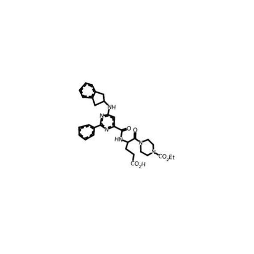 CCOC(=O)N1CCN(C(=O)C(CCC(=O)O)NC(=O)c2cc(NC3Cc4ccccc4C3)nc(-c3ccccc3)n2)CC1